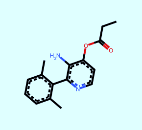 CCC(=O)Oc1ccnc(-c2c(C)cccc2C)c1N